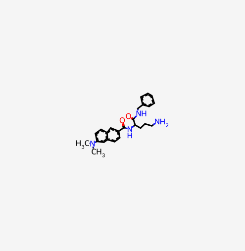 CN(C)c1ccc2cc(C(=O)NC(CCCN)C(=O)NCc3ccccc3)ccc2c1